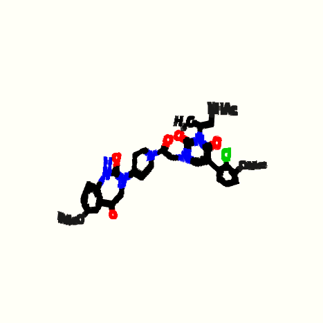 COc1ccc2c(c1)C(=O)CN(C1CCN(C(=O)Cn3cc(-c4cccc(OC)c4Cl)c(=O)n(C(C)CNC(C)=O)c3=O)CC1)C(=O)N2